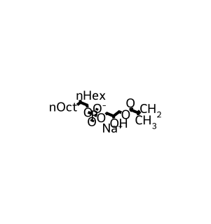 C=C(C)C(=O)OCC(O)COP(=O)([O-])OCC(CCCCCC)CCCCCCCC.[Na+]